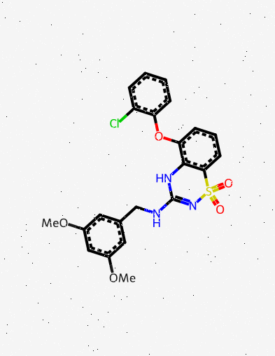 COc1cc(CNC2=NS(=O)(=O)c3cccc(Oc4ccccc4Cl)c3N2)cc(OC)c1